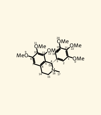 COc1cc([C@H]2c3c(cc(OC)c(OC)c3OC)CCN2C)cc(OC)c1OC